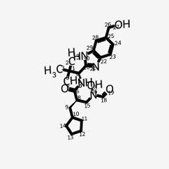 CC(C)(C)[C@H](NC(=O)[C@H](CC1CCCC1)CN(O)C=O)c1nc2ccc(CO)cc2[nH]1